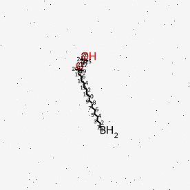 BCCCCCCCCCCCCCCCCCC(C)(C)OCC(C)(C)O